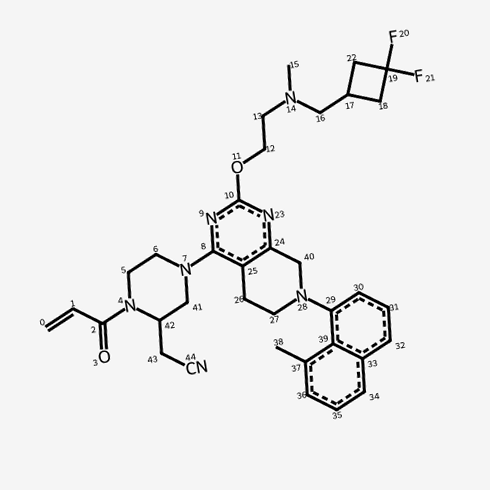 C=CC(=O)N1CCN(c2nc(OCCN(C)CC3CC(F)(F)C3)nc3c2CCN(c2cccc4cccc(C)c24)C3)CC1CC#N